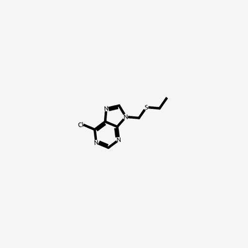 CCSCn1cnc2c(Cl)ncnc21